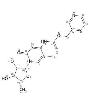 C[C@H]1O[C@@H](n2cc(I)c(NC(=O)OCc3cccnc3)nc2=O)C(O)C1O